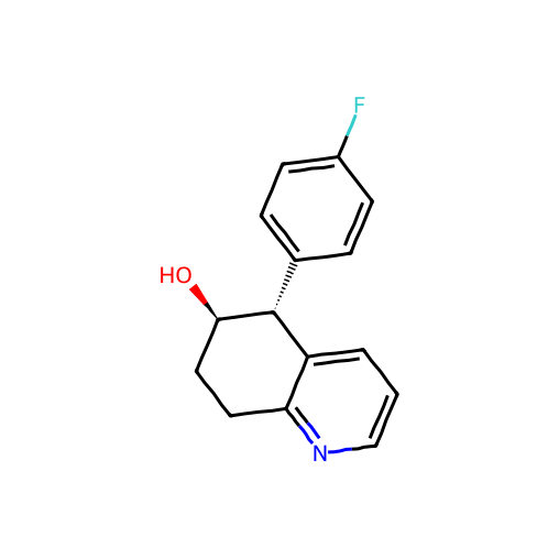 O[C@@H]1CCc2ncccc2[C@H]1c1ccc(F)cc1